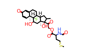 CSCCC(NC=O)C(=O)OCC(=O)[C@@]1(O)C(C)C[C@H]2[C@@H]3CCC4=CC(=O)C=C[C@]4(C)[C@@]3(F)C(O)C[C@@]21C